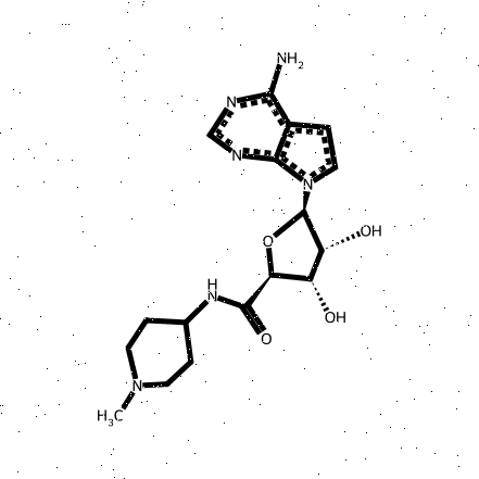 CN1CCC(NC(=O)[C@H]2O[C@@H](n3ccc4c(N)ncnc43)[C@H](O)[C@@H]2O)CC1